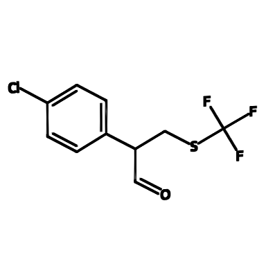 O=CC(CSC(F)(F)F)c1ccc(Cl)cc1